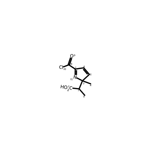 CC(C(=O)O)C1(C)C=CC(C(=O)Cl)=N1